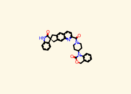 O=C(c1ccc2cc3c(cc2n1)C[C@]1(C3)C(=O)Nc2ccccc21)N1CCC(N2C(=O)OCc3ccccc32)CC1